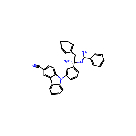 N#Cc1ccc2c(c1)c1ccccc1n2-c1cccc([C@@](N)(CC2=CCCC=C2)NC(N)c2ccccc2)c1